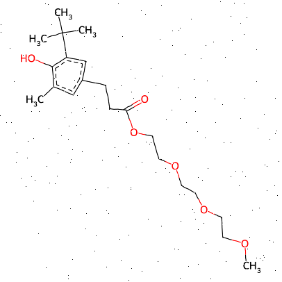 COCCOCCOCCOC(=O)CCc1cc(C)c(O)c(C(C)(C)C)c1